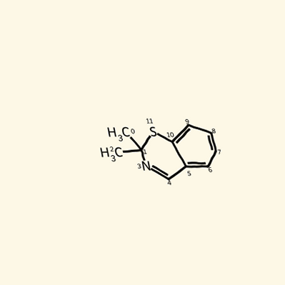 CC1(C)N=Cc2ccccc2S1